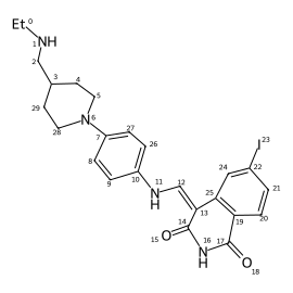 CCNCC1CCN(c2ccc(NC=C3C(=O)NC(=O)c4ccc(I)cc43)cc2)CC1